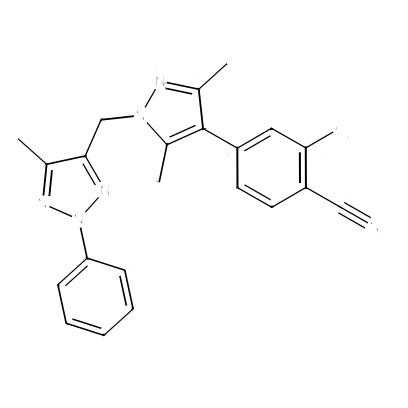 Cc1nn(-c2ccccc2)nc1Cn1nc(C)c(-c2ccc(C#N)c(Cl)c2)c1C